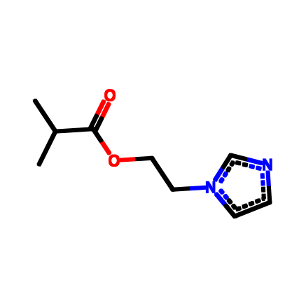 CC(C)C(=O)OCCn1ccnc1